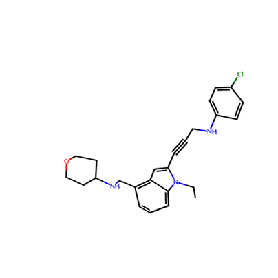 CCn1c(C#CCNc2ccc(Cl)cc2)cc2c(CNC3CCOCC3)cccc21